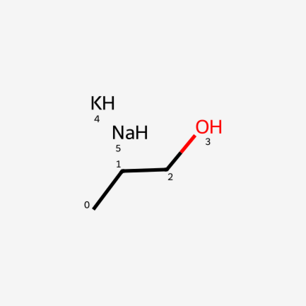 CCCO.[KH].[NaH]